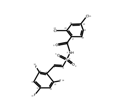 O=C(NS(=O)(=O)C=Cc1c(F)cc(F)cc1F)c1ccc(Cl)cc1Cl